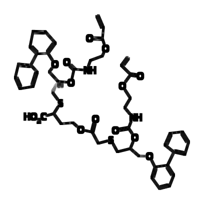 C=CC(=O)OCCNC(=O)OC(COc1ccccc1-c1ccccc1)CSCC(=O)OCCC(SC[C@H](COc1ccccc1-c1ccccc1)OC(=O)NCCOC(=O)C=C)C(=O)O